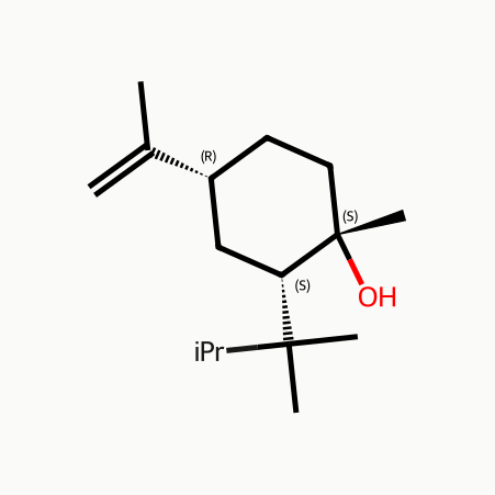 C=C(C)[C@@H]1CC[C@](C)(O)[C@H](C(C)(C)C(C)C)C1